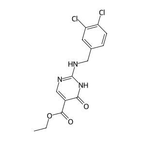 CCOC(=O)c1cnc(NCc2ccc(Cl)c(Cl)c2)[nH]c1=O